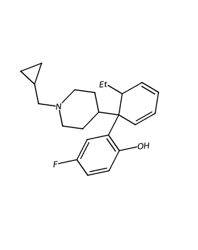 CCC1C=CC=CC1(c1cc(F)ccc1O)C1CCN(CC2CC2)CC1